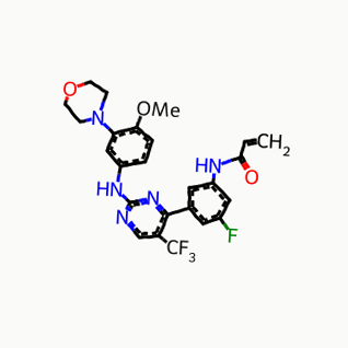 C=CC(=O)Nc1cc(F)cc(-c2nc(Nc3ccc(OC)c(N4CCOCC4)c3)ncc2C(F)(F)F)c1